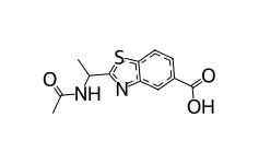 CC(=O)NC(C)c1nc2cc(C(=O)O)ccc2s1